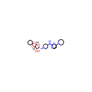 O[C@@H]1[C@H]2OC3(CCCCC3)O[C@H]2O[C@@H]1CN1CCC(Nc2nccc(N3CCCCCC3)n2)CC1